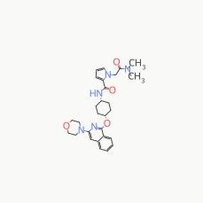 CN(C)C(=O)Cn1cccc1C(=O)N[C@H]1CC[C@@H](Oc2nc(N3CCOCC3)cc3ccccc23)CC1